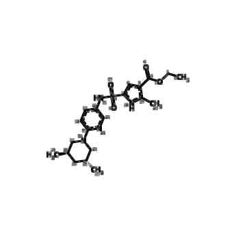 CCOC(=O)c1cc(S(=O)(=O)Nc2ccc(N3C[C@H](C)C[C@@H](C)C3)nc2)[nH]c1C